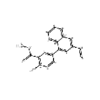 COC(=O)c1cc(-c2cc(C=O)cc3ccccc23)ccc1F